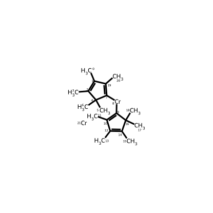 CC1=C(C)C(C)(C)[C]([Cr][C]2=C(C)C(C)=C(C)C2(C)C)=C1C.[Cr]